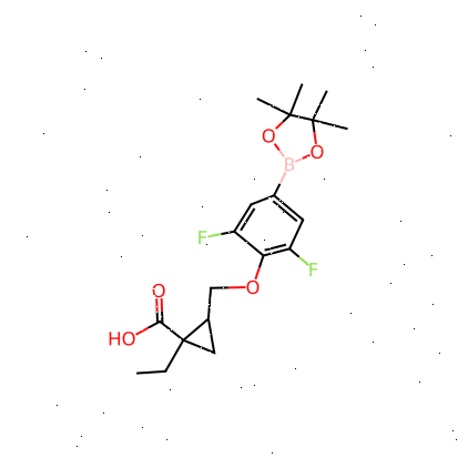 CCC1(C(=O)O)CC1COc1c(F)cc(B2OC(C)(C)C(C)(C)O2)cc1F